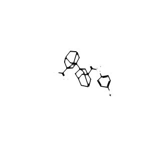 COc1ccc(N(C)C(=O)C23CC4CC(C2)CC(C25CC6CC(CC(C(=O)O)(C6)C2)C5)(C4)C3)cc1